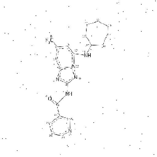 O=C(Nc1nc2cc(C(F)(F)F)cc(NC3CCCCCC3)n2n1)c1cccnc1